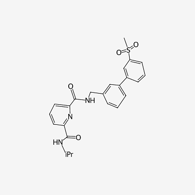 CC(C)NC(=O)c1cccc(C(=O)NCc2cccc(-c3cccc(S(C)(=O)=O)c3)c2)n1